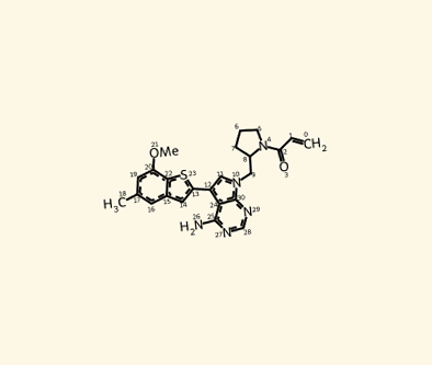 C=CC(=O)N1CCCC1Cn1cc(-c2cc3cc(C)cc(OC)c3s2)c2c(N)ncnc21